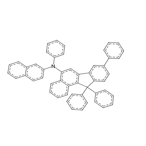 c1ccc(-c2ccc3c(c2)-c2cc(N(c4ccccc4)c4ccc5ccccc5c4)c4ccccc4c2C3(c2ccccc2)c2ccccc2)cc1